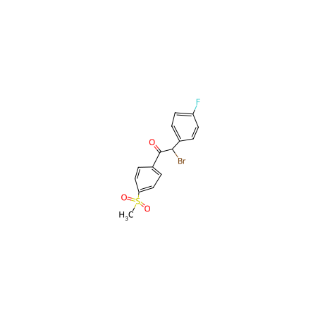 CS(=O)(=O)c1ccc(C(=O)C(Br)c2ccc(F)cc2)cc1